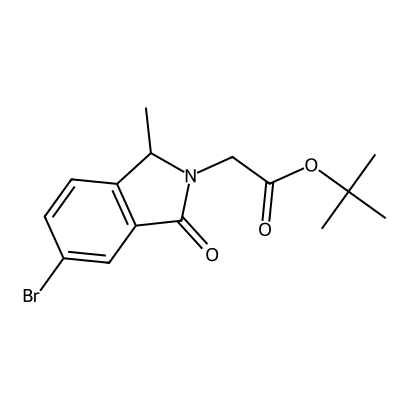 CC1c2ccc(Br)cc2C(=O)N1CC(=O)OC(C)(C)C